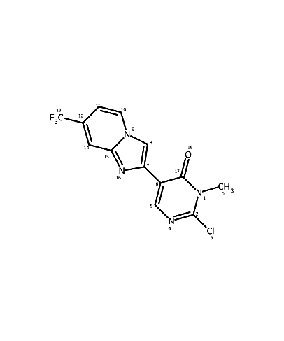 Cn1c(Cl)ncc(-c2cn3ccc(C(F)(F)F)cc3n2)c1=O